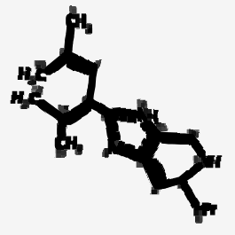 CCCC1C=c2nc(C(C=C(C)C)=C(C)C)[nH]c2=CN1